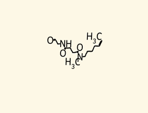 C/C=C\CCCCN(C)C(=O)CCC(=O)NCC=O